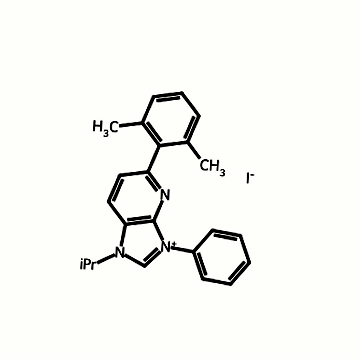 Cc1cccc(C)c1-c1ccc2c(n1)[n+](-c1ccccc1)cn2C(C)C.[I-]